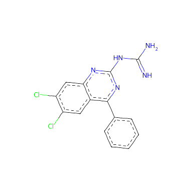 N=C(N)Nc1nc(-c2ccccc2)c2cc(Cl)c(Cl)cc2n1